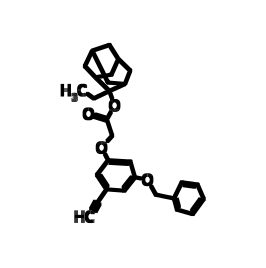 C#Cc1cc(OCC(=O)OC2(CC)C3CC4CC(C3)CC2C4)cc(OCc2ccccc2)c1